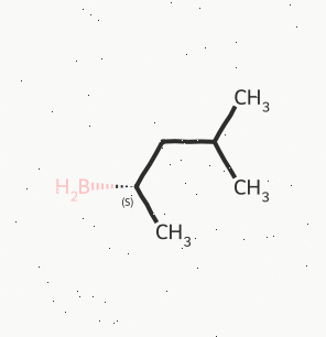 B[C@@H](C)CC(C)C